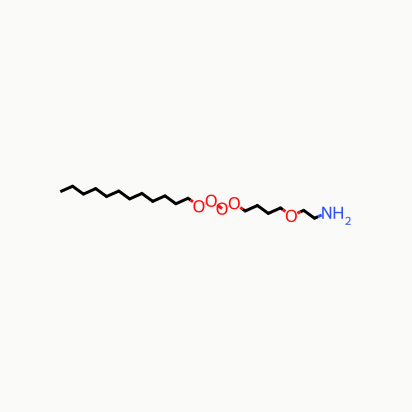 CCCCCCCCCCCCOOOOCCCCOCCN